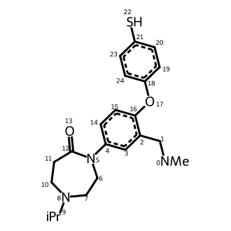 CNCc1cc(N2CCN(C(C)C)CCC2=O)ccc1Oc1ccc(S)cc1